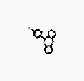 CC(C)c1ccc(C2=Nc3ccccc3Oc3ccccc32)cc1